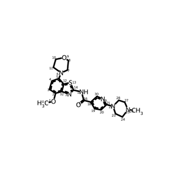 COc1ccc(N2CCOCC2)c2sc(NC(=O)c3ccc(N4CCN(C)CC4)nc3)nc12